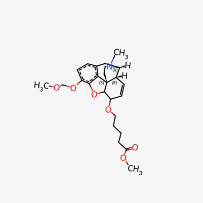 COCOc1ccc2c3c1OC1C(OCCCCC(=O)OC)C=C[C@H]4[C@@H](C2)N(C)CC[C@]314